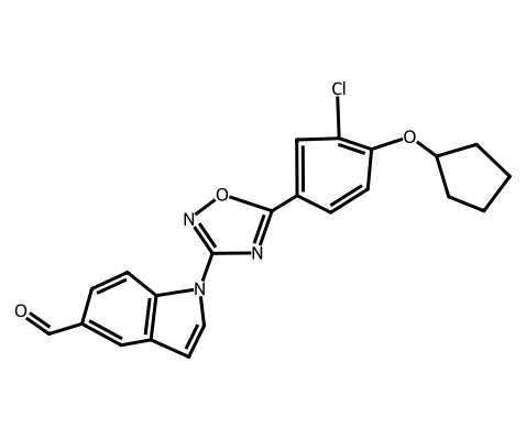 O=Cc1ccc2c(ccn2-c2noc(-c3ccc(OC4CCCC4)c(Cl)c3)n2)c1